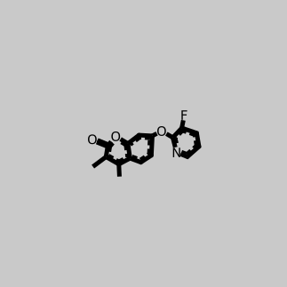 Cc1c(C)c2ccc(Oc3ncccc3F)cc2oc1=O